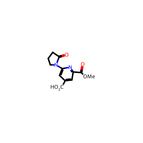 COC(=O)c1cc(C(=O)O)cc(N2CCCC2=O)n1